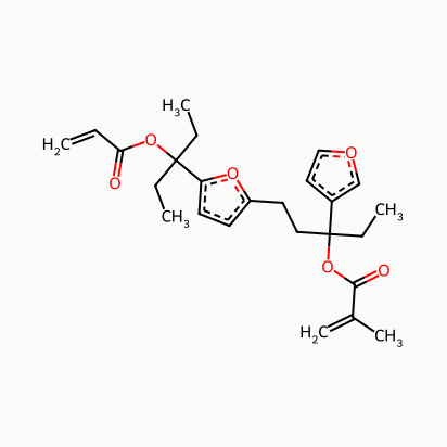 C=CC(=O)OC(CC)(CC)c1ccc(CCC(CC)(OC(=O)C(=C)C)c2ccoc2)o1